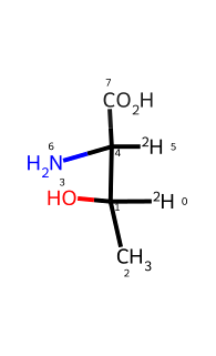 [2H]C(C)(O)C([2H])(N)C(=O)O